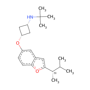 CC(C)[C@H](C)c1cc2cc(O[C@H]3C[C@@H](NC(C)(C)C)C3)ccc2o1